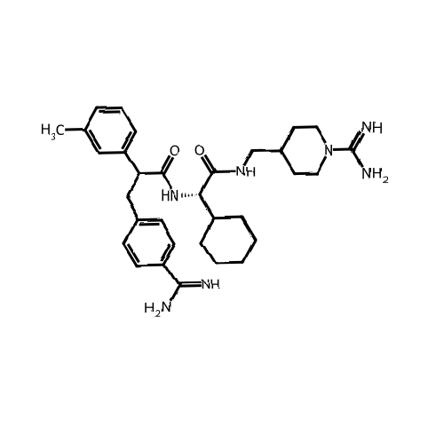 Cc1cccc(C(Cc2ccc(C(=N)N)cc2)C(=O)N[C@H](C(=O)NCC2CCN(C(=N)N)CC2)C2CCCCC2)c1